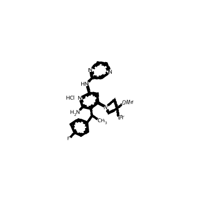 COC1(C(C)C)CN(c2cc(Nc3cnccn3)nc(N)c2C(C)c2ccc(F)cc2)C1.Cl